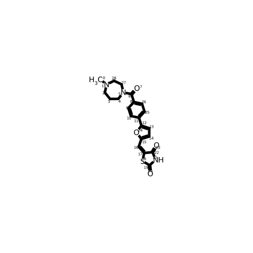 CN1CCCN(C(=O)c2ccc(-c3ccc(/C=C4/SC(=O)NC4=O)o3)cc2)CC1